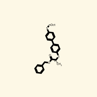 CCCCCCCCSc1ccc(-c2ccc(S[C@H](C)C(=O)OCc3ccccc3)cc2)cc1